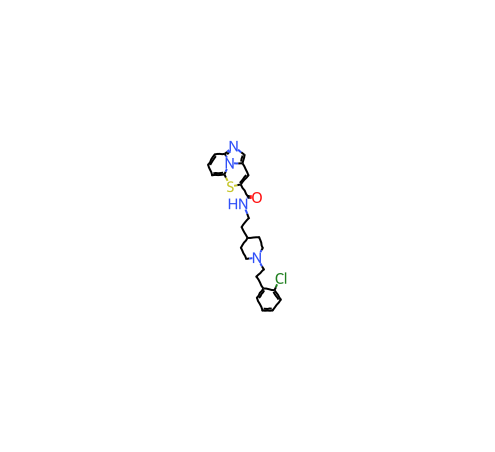 O=C(NCCC1CCN(CCc2ccccc2Cl)CC1)C1=Cc2cnc3cccc(n23)S1